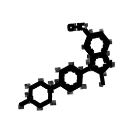 Cc1nc2ccc(C=O)cc2n1-c1ccc(N2CCN(C)CC2)cc1